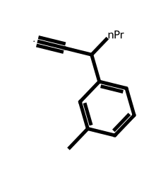 [C]#CC(CCC)c1cccc(C)c1